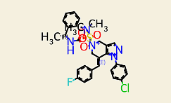 C[C@@H](NC(=O)O[N+]1(S(=O)(=O)N(C)C)C/C(=C\c2ccc(F)cc2)c2c(cnn2-c2ccc(Cl)cc2)C1)c1ccccc1